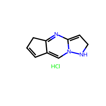 C1=CC2=CN3NCC=C3N=C2C1.Cl